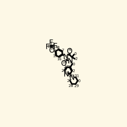 CC1(C)C(=O)N(c2ccc(OC(F)(F)F)cc2)C(=O)N1Cc1ccnc(N2CCCCC2)c1